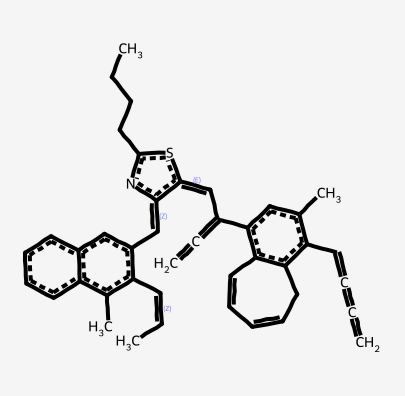 C=C=C=Cc1c(C)cc(C(=C=C)/C=c2/sc(CCCC)n/c2=C\c2cc3ccccc3c(C)c2/C=C\C)c2c1CC=CC=C2